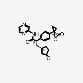 O=C1CC[C@H](C[C@@H](C(=O)Nc2cnccn2)c2ccc(C3([SH](=O)=O)CC3)cc2)C1